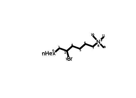 CCCCCCCC(Br)CCCC[N+](C)(C)C